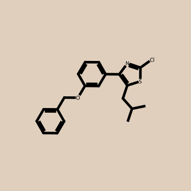 CC(C)Cc1sc(Cl)nc1-c1cccc(OCc2ccccc2)c1